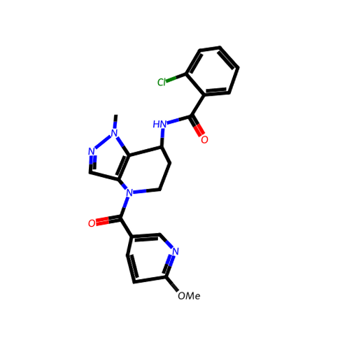 COc1ccc(C(=O)N2CCC(NC(=O)c3ccccc3Cl)c3c2cnn3C)cn1